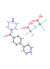 O=C(O)C(F)(F)F.O=C(O)C(F)(F)F.O=C(c1ccc(-c2ccncc2)cc1)N1CCNCC1